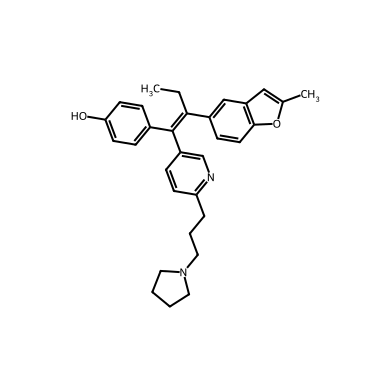 CCC(=C(c1ccc(O)cc1)c1ccc(CCCN2CCCC2)nc1)c1ccc2oc(C)cc2c1